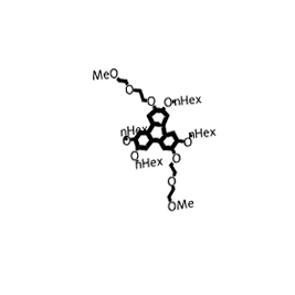 CCCCCCOc1cc2c(cc1OCCCCCC)c1cc(OCCOCCOC)c(OCCCCCC)cc1c1cc(OCCCCCC)c(OCCOCCOC)cc21